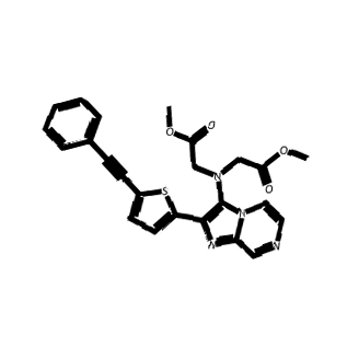 COC(=O)CN(CC(=O)OC)c1c(-c2ccc(C#Cc3ccccc3)s2)nc2cnccn12